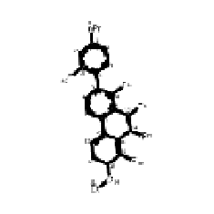 CCCc1ccc(-c2ccc3c(c2F)C(F)C(F)C2=C(F)C(OCC)CC=C23)c(F)c1